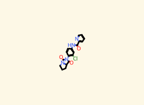 O=C(Nc1ccc(N2C(=O)C3CCCN3C2=O)c(Cl)c1)c1ccccn1